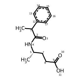 CC(C(=O)N[C@@H](C)CCC(=O)O)c1ccccc1